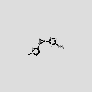 Cn1ccc([C@H]2C[C@@H]2c2nnc(N)s2)n1